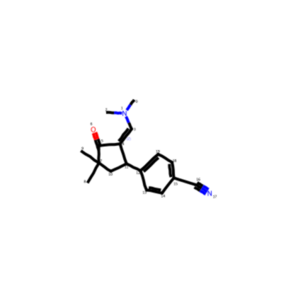 CN(C)/C=C1\C(=O)C(C)(C)CC1c1ccc(C#N)cc1